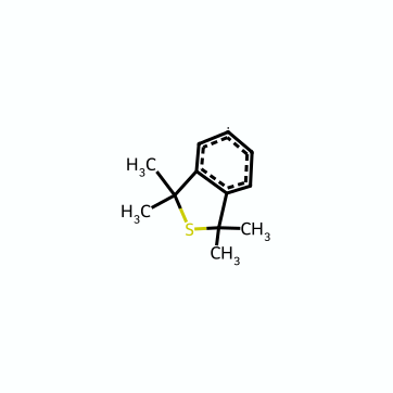 CC1(C)SC(C)(C)c2cc[c]cc21